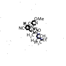 C=C1N(Cc2ccc(F)c(C#N)c2)C(Nc2cnc(OC)cc2C)=NC(=O)N1C(/C=C(C)\C=C(/C)CC)=C/C